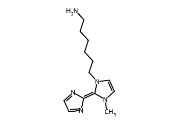 CN1C=CN(CCCCCCN)C1=C1N=CC=N1